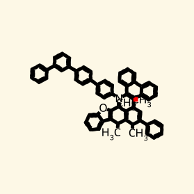 CC1C(c2ccccc2)=CC2(C)C3=C1C(C)c1c(oc4ccccc14)C3(C)N(c1ccc(-c3ccc(-c4cccc(-c5ccccc5)c4)cc3)cc1)c1c2c2ccccc2c2ccccc12